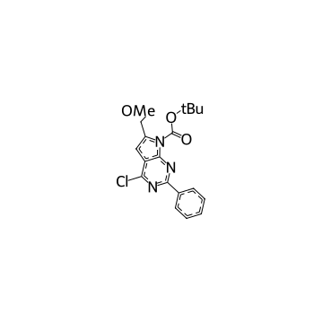 COCc1cc2c(Cl)nc(-c3ccccc3)nc2n1C(=O)OC(C)(C)C